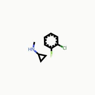 CNC1CC1.Fc1ccccc1Cl